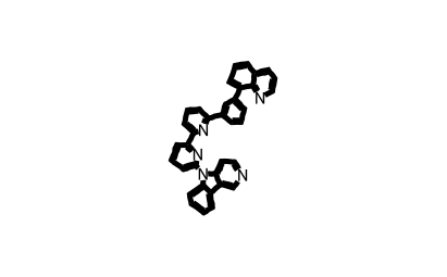 c1cc(-c2cccc(-c3cccc(-n4c5ccccc5c5cnccc54)n3)n2)cc(-c2cccc3cccnc23)c1